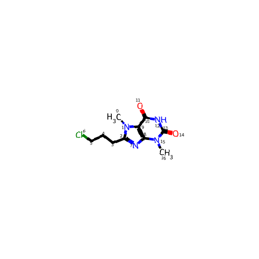 Cn1c(CCCCl)nc2c1c(=O)[nH]c(=O)n2C